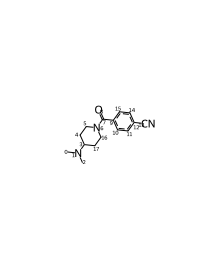 CN(C)C1CCN(C(=O)c2ccc(C#N)cc2)CC1